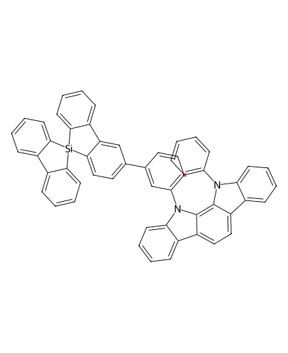 c1ccc(-n2c3ccccc3c3ccc4c5ccccc5n(-c5cccc(-c6ccc7c(c6)-c6ccccc6[Si]76c7ccccc7-c7ccccc76)c5)c4c32)cc1